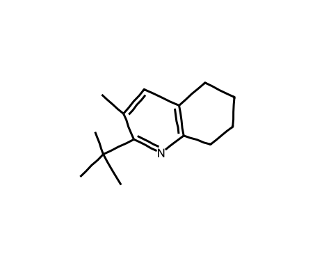 Cc1cc2c(nc1C(C)(C)C)CCCC2